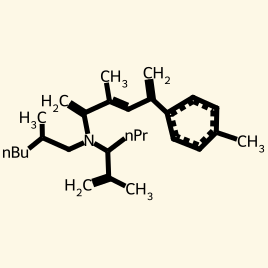 C=C(/C=C(\C)C(=C)N(CC(C)CCCC)C(CCC)C(=C)C)c1ccc(C)cc1